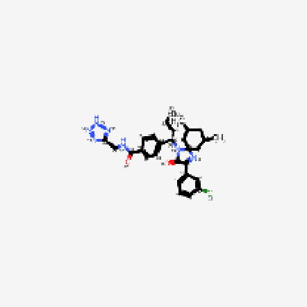 CC1CC(C)CC2(C1)N=C(c1cccc(Cl)c1)C(=O)N2[C@H](CCC(C)(C)C)c1ccc(C(=O)NCc2nn[nH]n2)cc1